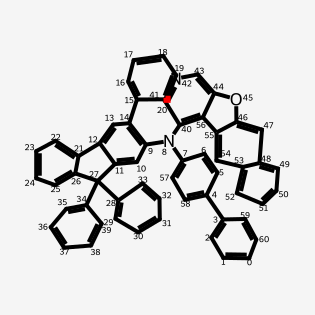 c1ccc(-c2ccc(N(c3cc4c(cc3-c3ccccc3)-c3ccccc3C4(c3ccccc3)c3ccccc3)c3cncc4oc5cc6ccccc6cc5c34)cc2)cc1